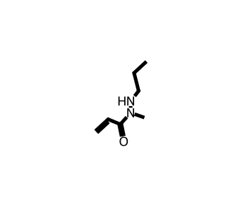 C=CC(=O)N(C)NCCC